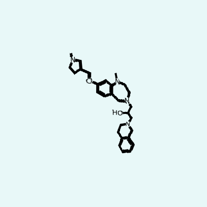 CN1CCC(COc2ccc3c(c2)N(C)CCN(CC(O)CN2CCc4ccccc4C2)C3)C1